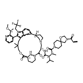 C=CC(=O)N1COC2(CCN(C(=O)N(C)[C@H](C(=O)N[C@H]3CN4CC[C@H](C4)c4ccc5c(c4)c(c(-c4cccnc4[C@H](C)OC)n5CC(F)(F)F)CC(C)(C)COC(=O)[C@@H]4CCCN(N4)C3=O)C(C)C)CC2)C1